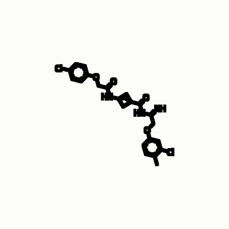 Cc1ccc(OCC(=N)NC(=O)C23CC(NC(=O)COc4ccc(Cl)cc4)(C2)C3)cc1Cl